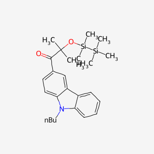 CCCCn1c2ccccc2c2cc(C(=O)C(C)(C)O[Si](C)(C)[Si](C)(C)C)ccc21